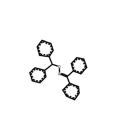 c1ccc(C(=NOC(c2ccccc2)c2ccccc2)c2ccccc2)cc1